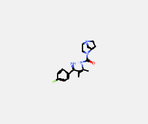 C/C(NC(=O)N1CCN2CCC1C2)=C(\C)C(=N)c1ccc(F)cc1